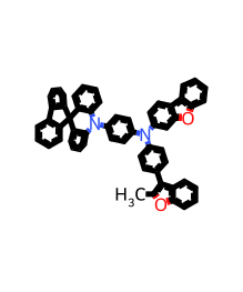 Cc1oc2ccccc2c1-c1ccc(N(c2ccc(N3c4ccccc4C4(c5ccccc5-c5ccccc54)c4ccccc43)cc2)c2ccc3c(c2)oc2ccccc23)cc1